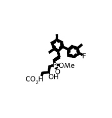 COP(=O)(/C=C/c1c(C)cc(C)cc1-c1ccc(F)c(C)c1)C[C@H](O)CC(=O)O